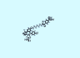 CCNC(=O)C[C@@H]1N=C(c2ccc(Cl)cc2)c2cc(OCCCCCCCNC(=O)c3ccc(B(O)O)cc3)ccc2-n2c(C)nnc21